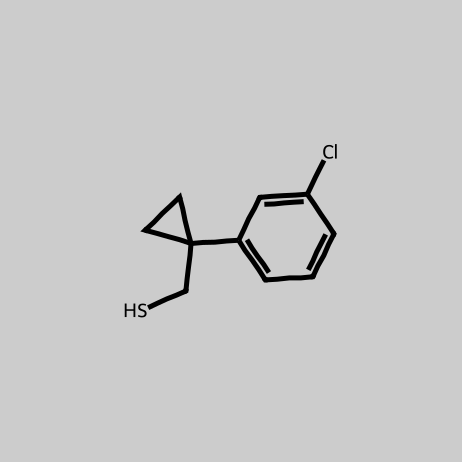 SCC1(c2cccc(Cl)c2)CC1